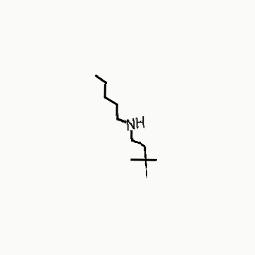 CCCCCNCCC(C)(C)I